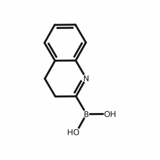 OB(O)C1=Nc2ccccc2CC1